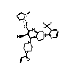 C=CC(=O)N1CCN(c2c(C#N)c(OC[C@@H]3CCCN3C)nc3c2CCN(c2ncccc2C(F)(F)F)C3)CC1